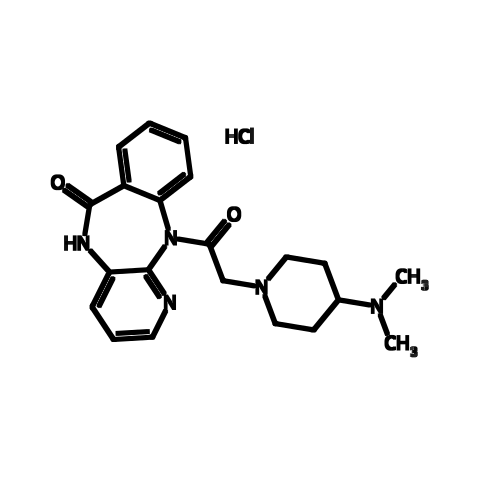 CN(C)C1CCN(CC(=O)N2c3ccccc3C(=O)Nc3cccnc32)CC1.Cl